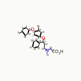 Cc1ccc(Oc2ccc(OC(CCN(C)CC(=O)O)c3ccccc3)cc2C)cc1